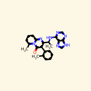 Cc1ccccc1-c1c(C(C)Nc2ncnc3[nH]cnc23)nc2cccc(C)n2c1=O